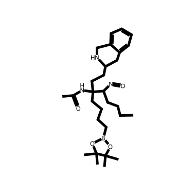 CCCCC(N=O)C(CCCCB1OC(C)(C)C(C)(C)O1)(CCC1Cc2ccccc2CN1)NC(C)=O